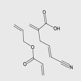 C=C(CC=CC#N)C(=O)O.C=CCOC(=O)C=C